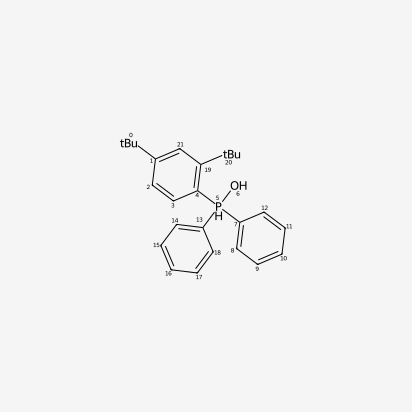 CC(C)(C)c1ccc([PH](O)(c2ccccc2)c2ccccc2)c(C(C)(C)C)c1